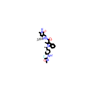 CSc1cc(C)[nH]c(=O)c1CNC(=O)c1c(C)n([C@H](C)[C@H]2CC[C@H](Nc3nc(C)oc3F)CC2)c2ccccc12